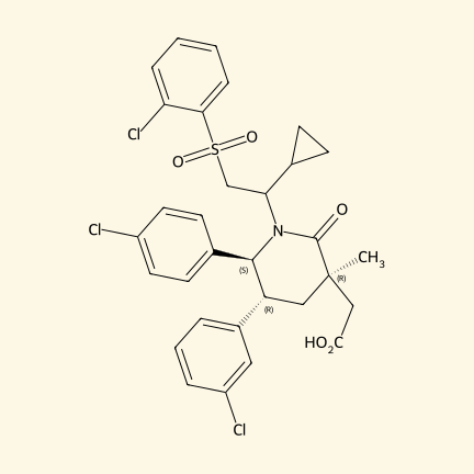 C[C@]1(CC(=O)O)C[C@H](c2cccc(Cl)c2)[C@@H](c2ccc(Cl)cc2)N(C(CS(=O)(=O)c2ccccc2Cl)C2CC2)C1=O